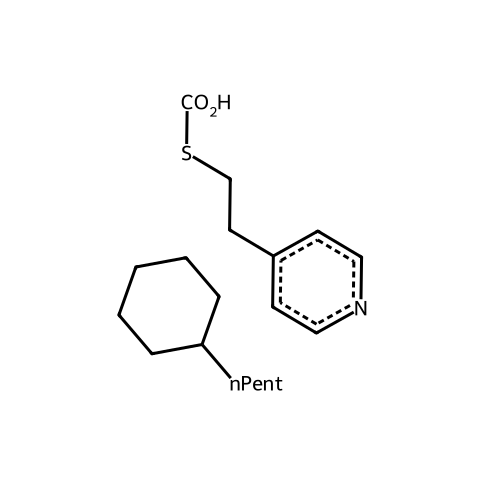 CCCCCC1CCCCC1.O=C(O)SCCc1ccncc1